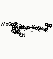 COc1ccc(C(OC[C@H]2OC(n3ccc(NC(=O)c4ccc(CNC(=O)Cc5ccc(OC(=O)OCCN(C)C(=O)OCC6c7ccccc7-c7ccccc76)cc5)cc4)nc3=O)C[C@H]2OP(OCCC#N)N(C(C)C)C(C)C)(c2ccccc2)c2ccc(OC)cc2)cc1